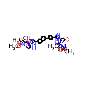 COC(=O)N[C@H](C(=O)N1CCC[C@H]1c1ncc(-c2ccc3cc(-c4ccc(-c5cnc([C@@H]6CC(=O)CN6C(=O)[C@@H](NC(=O)OC)C(C)C)[nH]5)cc4)ccc3c2)[nH]1)C(C)C